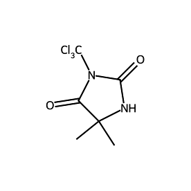 CC1(C)NC(=O)N(C(Cl)(Cl)Cl)C1=O